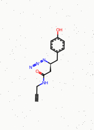 C#CCNC(=O)C[C@H](Cc1ccc(O)cc1)N=[N+]=[N-]